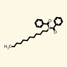 CCCCCCCCCCCCN(C(=O)c1ccccc1)C(=O)c1ccccc1